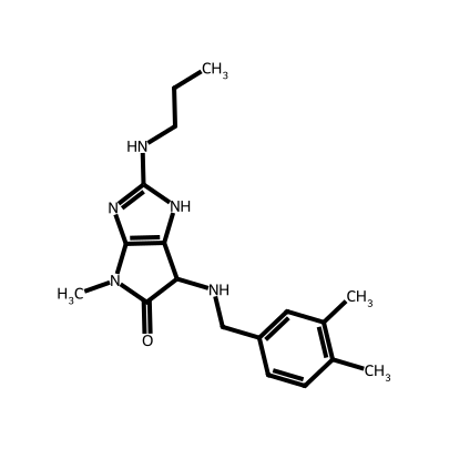 CCCNc1nc2c([nH]1)C(NCc1ccc(C)c(C)c1)C(=O)N2C